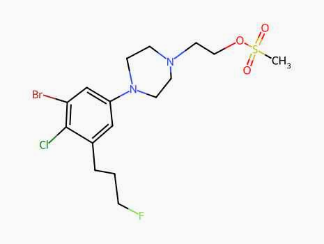 CS(=O)(=O)OCCN1CCN(c2cc(Br)c(Cl)c(CCCF)c2)CC1